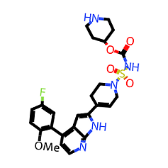 COc1ccc(F)cc1-c1ccnc2[nH]c(C3=CCN(S(=O)(=O)NC(=O)OC4CCNCC4)CC3)cc12